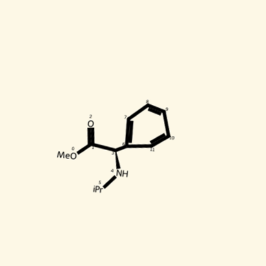 COC(=O)[C@H](NC(C)C)c1ccccc1